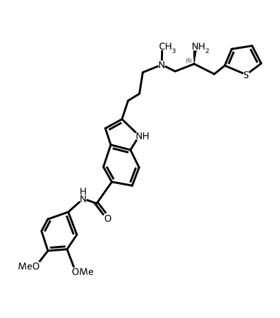 COc1ccc(NC(=O)c2ccc3[nH]c(CCCN(C)C[C@@H](N)Cc4cccs4)cc3c2)cc1OC